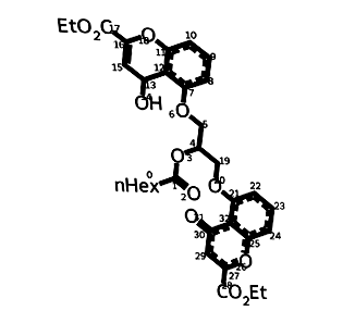 CCCCCCC(=O)OC(COc1cccc2c1C(O)C=C(C(=O)OCC)O2)COc1cccc2oc(C(=O)OCC)cc(=O)c12